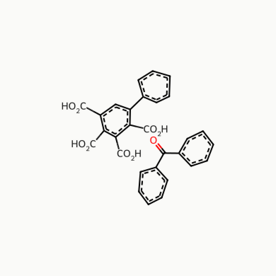 O=C(O)c1cc(-c2ccccc2)c(C(=O)O)c(C(=O)O)c1C(=O)O.O=C(c1ccccc1)c1ccccc1